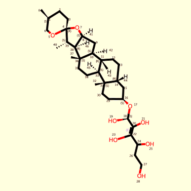 C[C@H]1CC[C@@]2(OC1)O[C@H]1C[C@H]3[C@@H]4CC[C@@H]5C[C@@H](O[C@H](O)/C(O)=C(\O)C(O)CCO)CC[C@]5(C)[C@H]4CC[C@]3(C)[C@H]1[C@@H]2C